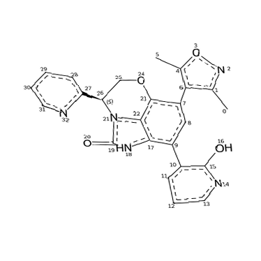 Cc1noc(C)c1-c1cc(-c2cccnc2O)c2[nH]c(=O)n3c2c1OC[C@@H]3c1ccccn1